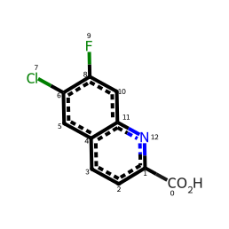 O=C(O)c1ccc2cc(Cl)c(F)cc2n1